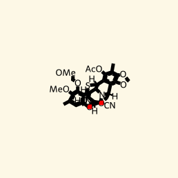 COCOc1c(OC)c(C)cc2c1[C@@H]1C3[C@@H]4SC[C@@H](O)C(=O)OC[C@@H](c5c6c(c(C)c(OC(C)=O)c54)OCO6)N3[C@@H](C#N)[C@H](C2)N1C